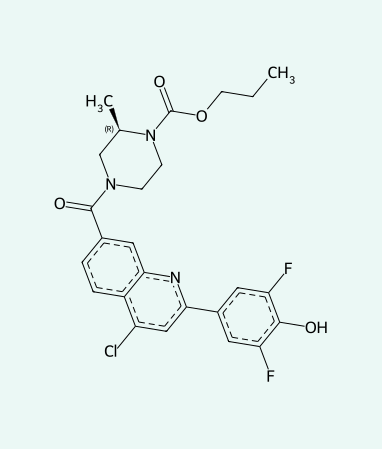 CCCOC(=O)N1CCN(C(=O)c2ccc3c(Cl)cc(-c4cc(F)c(O)c(F)c4)nc3c2)C[C@H]1C